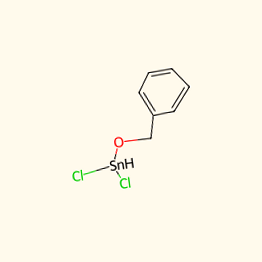 [Cl][SnH]([Cl])[O]Cc1ccccc1